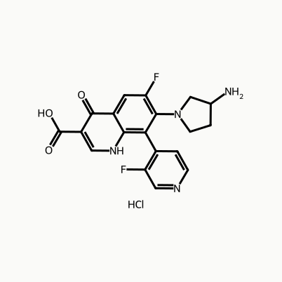 Cl.NC1CCN(c2c(F)cc3c(=O)c(C(=O)O)c[nH]c3c2-c2ccncc2F)C1